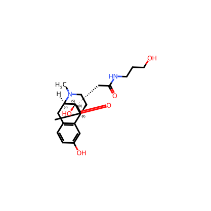 CN1CC[C@]23CC(=O)[C@@H](CC(=O)NCCCO)C[C@@]2(O)[C@H]1Cc1ccc(O)cc13